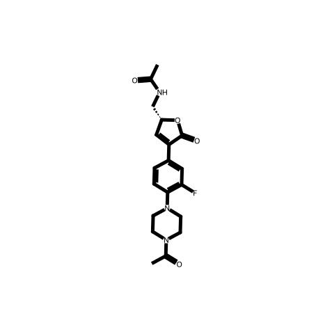 CC(=O)NC[C@H]1C=C(c2ccc(N3CCN(C(C)=O)CC3)c(F)c2)C(=O)O1